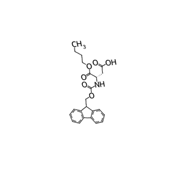 CCCCOC(=O)[C@H](CC(=O)O)NC(=O)OCC1c2ccccc2-c2ccccc21